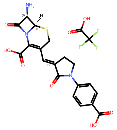 N[C@@H]1C(=O)N2C(C(=O)O)=C(/C=C3\CCN(c4ccc(C(=O)O)cc4)C3=O)CS[C@H]12.O=C(O)C(F)(F)F